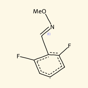 CO/N=C/c1c(F)c[c]cc1F